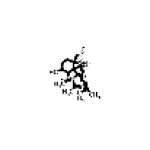 COC1C(O)CCC(O)(CSC)C1(C(=O)N(Cl)C(C)=O)C1(C)OC1CC=C(C)C